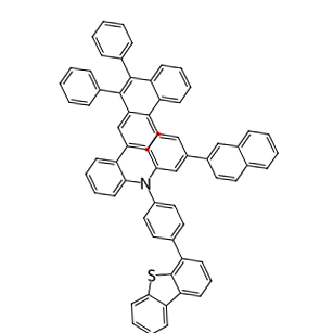 c1ccc(-c2c(-c3ccccc3)c3cc(-c4ccccc4N(c4ccc(-c5cccc6c5sc5ccccc56)cc4)c4cccc(-c5ccc6ccccc6c5)c4)ccc3c3ccccc23)cc1